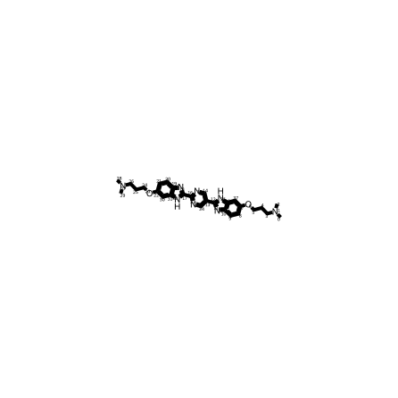 CN(C)CCCOc1ccc2nc(-c3cnc(-c4nc5ccc(OCCCN(C)C)cc5[nH]4)nc3)[nH]c2c1